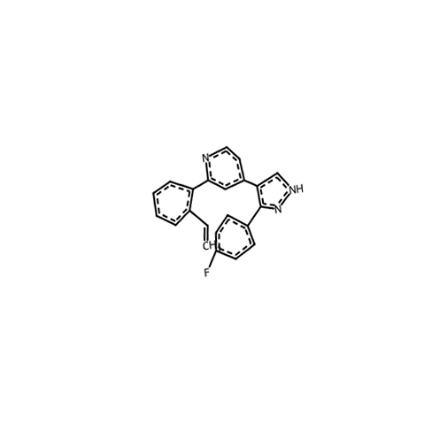 C=Cc1ccccc1-c1cc(-c2c[nH]nc2-c2ccc(F)cc2)ccn1